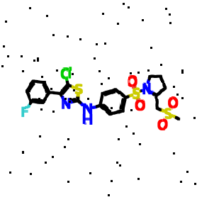 CS(=O)(=O)CC1CCCN1S(=O)(=O)c1ccc(Nc2nc(-c3cccc(F)c3)c(Cl)s2)cc1